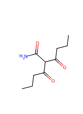 CCCC(=O)C(C(N)=O)C(=O)CCC